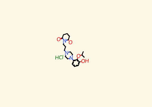 CC(C)Oc1c(O)cccc1N1CCN(CCCN2C(=O)CCCC2=O)CC1.Cl